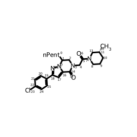 CCCCCC1CN(CC(=O)N2CCC[C@@H](C)C2)C(=O)c2cc(-c3ccc(Cl)cc3)nn21